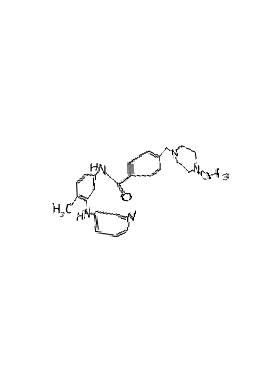 Cc1ccc(NC(=O)c2ccc(CN3CCN(C)CC3)cc2)cc1Nc1cccnc1